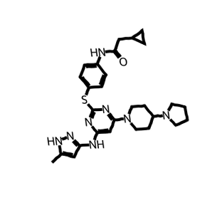 Cc1cc(Nc2cc(N3CCC(N4CCCC4)CC3)nc(Sc3ccc(NC(=O)CC4CC4)cc3)n2)n[nH]1